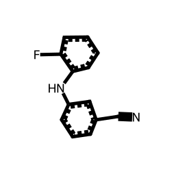 N#Cc1cccc(Nc2ccccc2F)c1